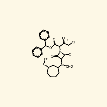 C=C(CCl)C(C(=O)OC(c1ccccc1)c1ccccc1)N1C(=O)C(N(C=O)C2CCCCC(OCC)C2)C1Cl